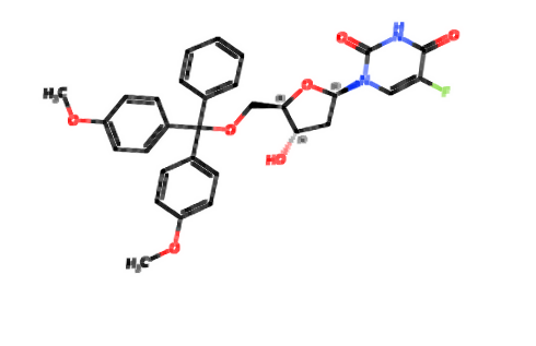 COc1ccc(C(OC[C@H]2O[C@@H](n3cc(F)c(=O)[nH]c3=O)C[C@@H]2O)(c2ccccc2)c2ccc(OC)cc2)cc1